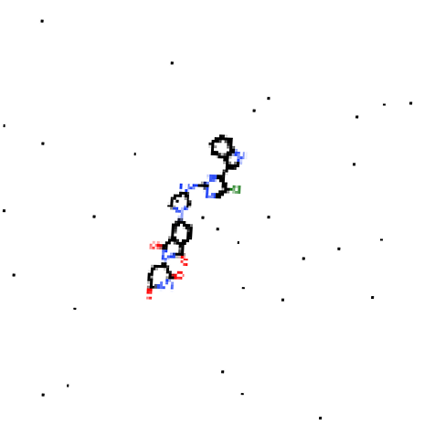 O=C1CCC(N2C(=O)c3ccc(N4CCC(Nc5ncc(Cl)c(-c6c[nH]c7ccccc67)n5)C4)cc3C2=O)C(=O)N1